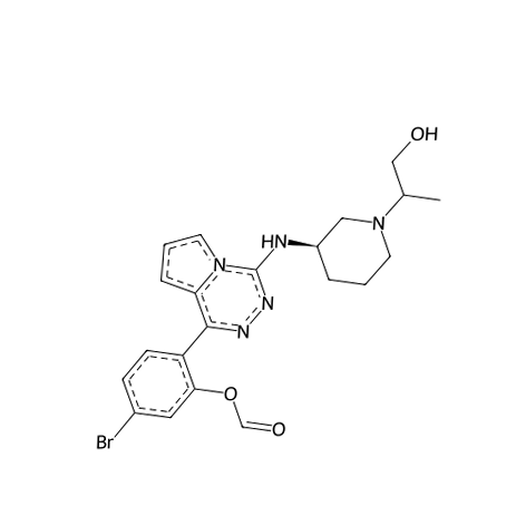 CC(CO)N1CCC[C@@H](Nc2nnc(-c3ccc(Br)cc3OC=O)c3cccn23)C1